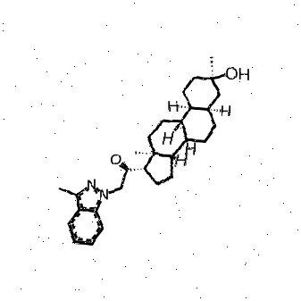 Cc1nn(CC(=O)[C@H]2CC[C@H]3[C@@H]4CC[C@@H]5C[C@](C)(O)CC[C@@H]5[C@H]4CC[C@]23C)c2ccccc12